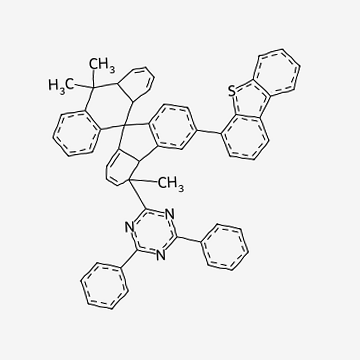 CC1(C)c2ccccc2C2(C3=CC=CC(C)(c4nc(-c5ccccc5)nc(-c5ccccc5)n4)C3c3cc(-c4cccc5c4sc4ccccc45)ccc32)C2C=CC=CC21